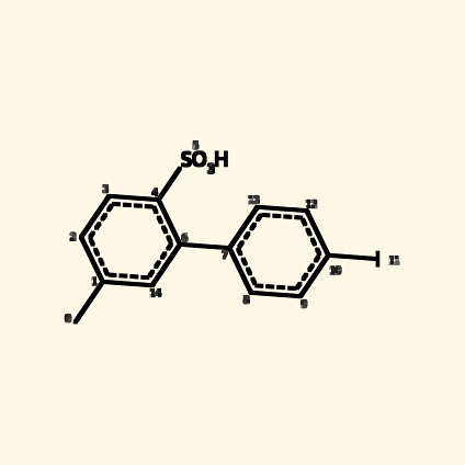 Cc1ccc(S(=O)(=O)O)c(-c2ccc(I)cc2)c1